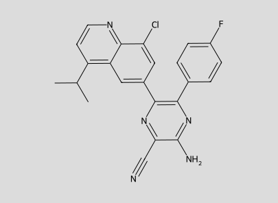 CC(C)c1ccnc2c(Cl)cc(-c3nc(C#N)c(N)nc3-c3ccc(F)cc3)cc12